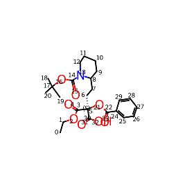 CCOC(=O)[C@@](CCC1CCCCN1C(=O)OC(C)(C)C)(OC(=O)c1ccccc1)C(=O)O